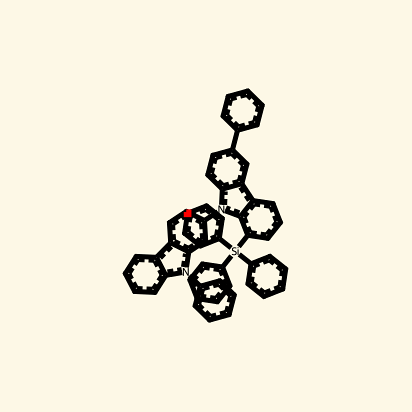 c1ccc(-c2ccc3c(c2)c2cccc([Si](c4ccccc4)(c4ccccc4)c4ccccc4)c2n3-c2ccc3c4ccccc4n(-c4ccccc4)c3c2)cc1